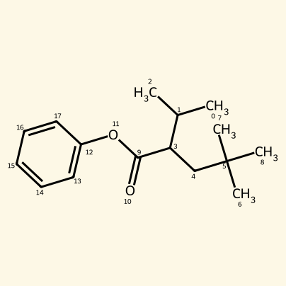 CC(C)C(CC(C)(C)C)C(=O)Oc1ccccc1